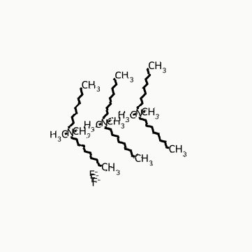 CCCCCCCCCC[N+](C)(C)CCCCCCCCCC.CCCCCCCCCC[N+](C)(C)CCCCCCCCCC.CCCCCCCCCC[N+](C)(C)CCCCCCCCCC.[F-].[F-].[F-]